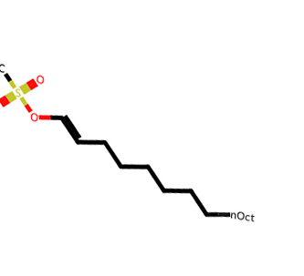 CCCCCCCCCCCCCC/C=C/OS(C)(=O)=O